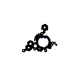 C[C@@H]1CC/C=C/[C@H](OCc2ncccn2)[C@@H]2CC[C@H]2CN2C[C@@]3(CCCc4cc(Cl)ccc43)COc3ccc(cc32)C(=O)NS1(=O)=O